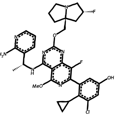 COc1nc(-c2cc(O)cc(Cl)c2C2CC2)c(F)c2nc(OC[C@@]34CCCN3C[C@H](F)C4)nc(N[C@H](C)c3cccnc3N)c12